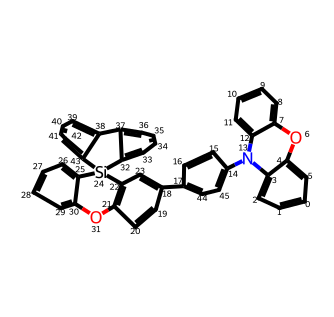 c1ccc2c(c1)Oc1ccccc1N2c1ccc(-c2ccc3c(c2)[Si]2(c4ccccc4O3)c3ccccc3-c3ccccc32)cc1